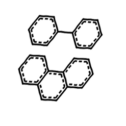 c1ccc(-c2ccccc2)cc1.c1ccc2c(c1)ccc1ccccc12